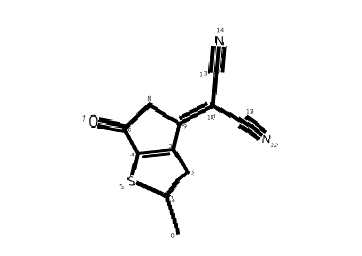 CC1CC2=C(S1)C(=O)CC2=C(C#N)C#N